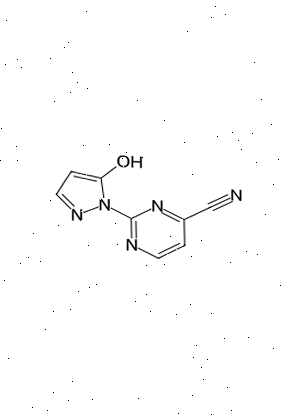 N#Cc1ccnc(-n2nccc2O)n1